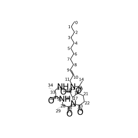 CCCCCCCCCC=CCN(CC)C(=O)[C@@]1(C)C(=O)CCC(=O)N1C(=O)[C@H](C)NC(=O)[C@H](C)N